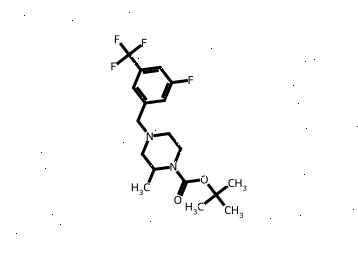 CC1CN(Cc2cc(F)cc(C(F)(F)F)c2)CCN1C(=O)OC(C)(C)C